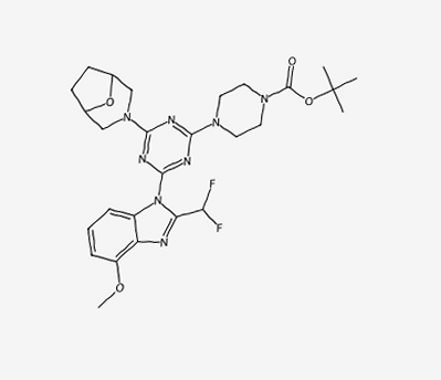 COc1cccc2c1nc(C(F)F)n2-c1nc(N2CCN(C(=O)OC(C)(C)C)CC2)nc(N2CC3CCC(C2)O3)n1